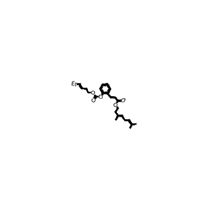 CCC=CCCOC(=O)Oc1ccccc1C=CC(=O)OCCC(C)CCC=C(C)C